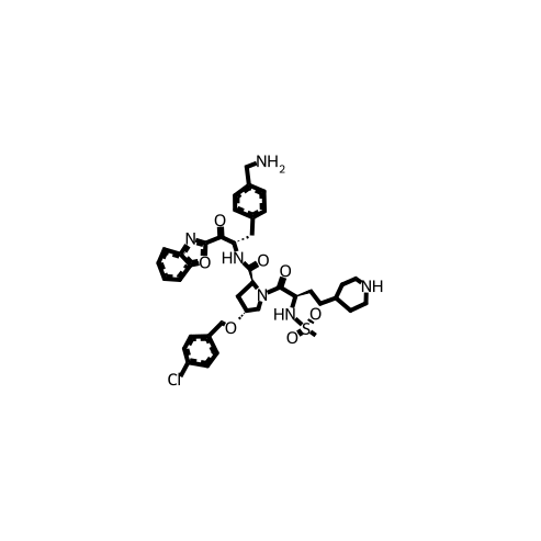 CS(=O)(=O)N[C@H](CCC1CCNCC1)C(=O)N1C[C@H](OCc2ccc(Cl)cc2)C[C@H]1C(=O)N[C@@H](Cc1ccc(CN)cc1)C(=O)c1nc2ccccc2o1